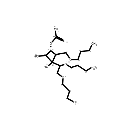 CCCCOCC(OCCCC)C1(O)C(O)[C@H](OC(C)=O)C1COCCCC